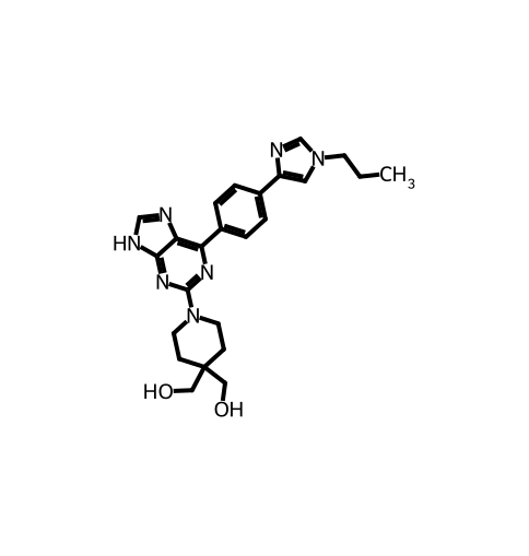 CCCn1cnc(-c2ccc(-c3nc(N4CCC(CO)(CO)CC4)nc4[nH]cnc34)cc2)c1